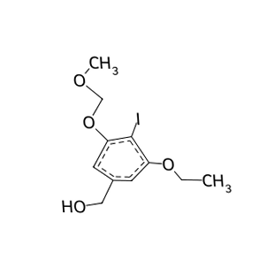 CCOc1cc(CO)cc(OCOC)c1I